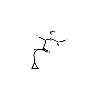 CCC[C@H](NCl)C(O)C(=O)NC1CC1